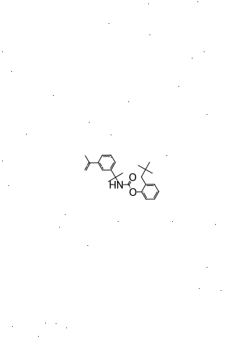 C=C(C)c1cccc(C(C)(C)NC(=O)Oc2ccccc2CC(C)(C)C)c1